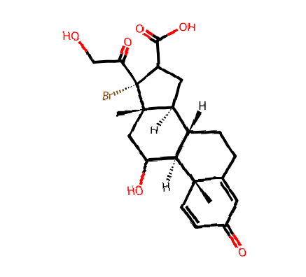 C[C@]12C=CC(=O)C=C1CC[C@@H]1[C@@H]2C(O)C[C@@]2(C)[C@H]1CC(C(=O)O)[C@]2(Br)C(=O)CO